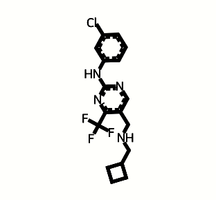 FC(F)(F)c1nc(Nc2cccc(Cl)c2)ncc1CNCC1CCC1